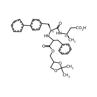 C[C@H](CC(=O)O)NC(=O)[C@H](Cc1ccc(-c2ccccc2)cc1)NC(Cc1ccccc1)C(=O)OCC1COC(C)(C)O1